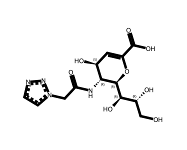 O=C(Cn1ccnn1)N[C@H]1[C@H]([C@H](O)[C@H](O)CO)OC(C(=O)O)=C[C@@H]1O